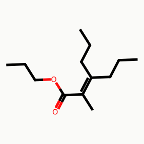 CCCOC(=O)C(C)=C(CCC)CCC